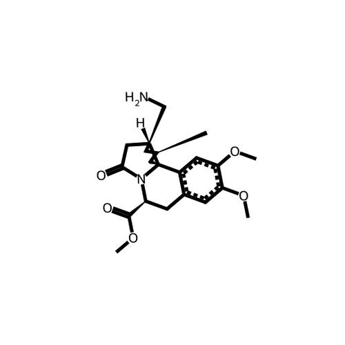 COC(=O)[C@@H]1Cc2cc(OC)c(OC)cc2[C@@]23C[C@H](C)[C@@H](CN)[C@@H]2CC(=O)N13